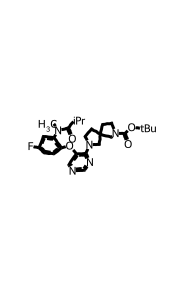 CC(C)C(=O)N(C)c1cc(F)ccc1Oc1cncnc1N1CCC2(CCN(C(=O)OC(C)(C)C)C2)C1